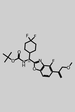 C=C(COC)c1ccc2oc([C@@H](NC(=O)OC(C)(C)C)C3CCC(F)(F)CC3)nc2c1F